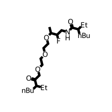 CCCCC(CC)C(=O)COCCOCCOC(C)C(F)CNC(=O)C(CC)CCCC